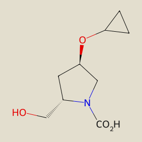 O=C(O)N1C[C@H](OC2CC2)C[C@H]1CO